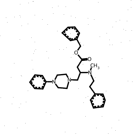 CN(CCc1ccccc1)C(CC(=O)OCc1ccccc1)CN1CCN(c2ccccc2)CC1